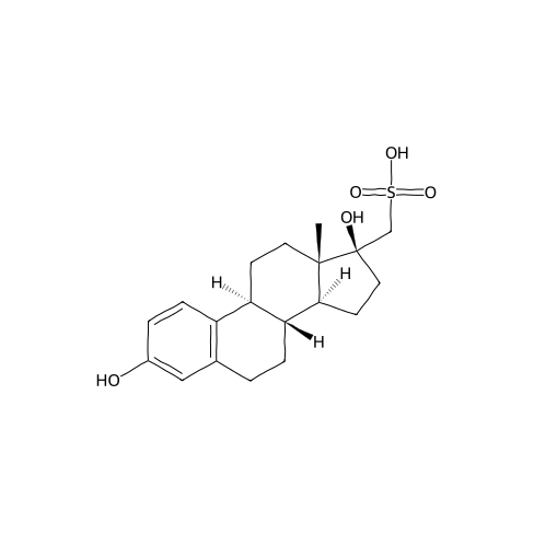 C[C@]12CC[C@@H]3c4ccc(O)cc4CC[C@H]3[C@@H]1CC[C@@]2(O)CS(=O)(=O)O